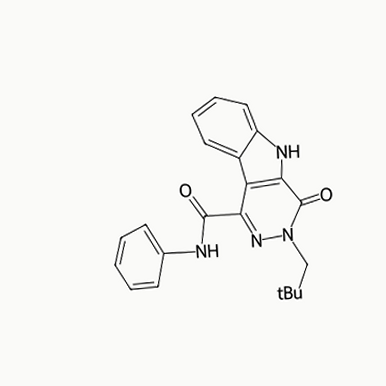 CC(C)(C)Cn1nc(C(=O)Nc2ccccc2)c2c([nH]c3ccccc32)c1=O